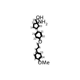 COc1ccc(CCCOc2ccc([C@@H]3CC[C@@](N)(CO)C3)cc2)cc1